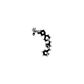 O=[SH](=O)NCc1cccc(C2CCN(Cc3cn(Cc4ccccn4)nn3)CC2)c1